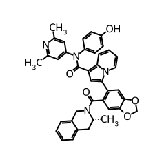 Cc1cc(N(C(=O)c2cc(-c3cc4c(cc3C(=O)N3Cc5ccccc5C[C@H]3C)OCO4)n3ccccc23)c2ccc(O)cc2)cc(C)n1